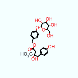 O=C(C[C@](O)(Cc1ccc(O)cc1)C(=O)O)OCc1ccc(O[C@@H]2O[C@H](CO)[C@@H](O)[C@H](O)[C@H]2O)cc1